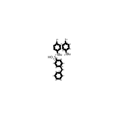 CC(C)(C)c1ccc(I)cc1.CC(C)(C)c1ccc(I)cc1.O=S(=O)(O)c1ccc(Cc2ccccc2)cc1